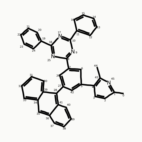 Cc1ccc(-c2cc(-c3nc(-c4ccccc4)nc(-c4ccccc4)n3)cc(-c3c4ccccc4cc4ccccc34)c2)c(C)n1